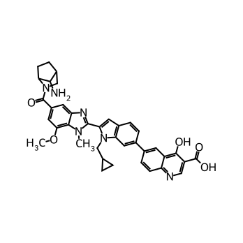 COc1cc(C(=O)N2CC3CCC2C3N)cc2nc(-c3cc4ccc(-c5ccc6ncc(C(=O)O)c(O)c6c5)cc4n3CC3CC3)n(C)c12